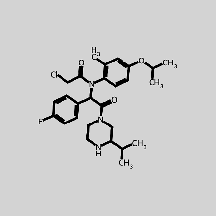 Cc1cc(OC(C)C)ccc1N(C(=O)CCl)C(C(=O)N1CCNC(C(C)C)C1)c1ccc(F)cc1